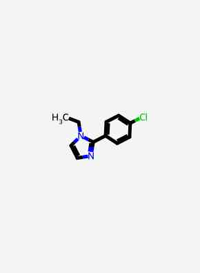 CCn1ccnc1-c1ccc(Cl)cc1